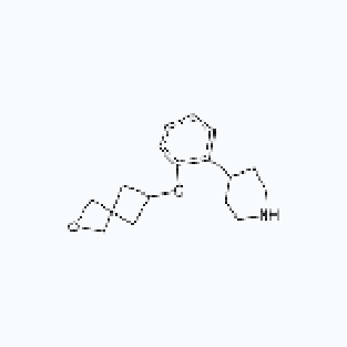 c1ccc(C2CCNCC2)c(OC2CC3(COC3)C2)c1